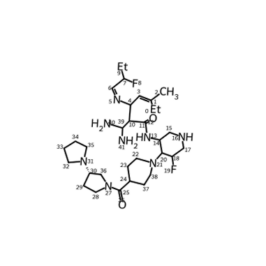 CC/C(C)=C\C(/N=C\C(F)CC)C(C(=O)NC1CNCC(F)C1N1CCC(C(=O)N2CC[C@H](N3CCCC3)C2)CC1)C(N)N